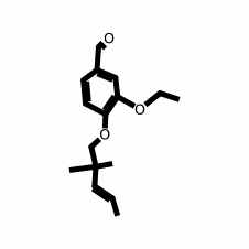 C/C=C/C(C)(C)COc1ccc(C=O)cc1OCC